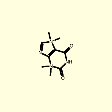 C[N+]1(C)C=NC2=C1C(=O)NC(=O)[N+]2(C)C